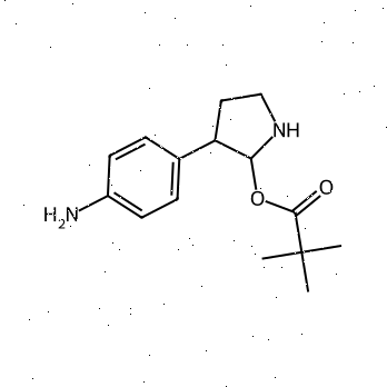 CC(C)(C)C(=O)OC1NCCC1c1ccc(N)cc1